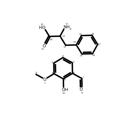 COc1cccc(C=O)c1O.NC(Cc1ccccc1)C(=O)O